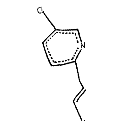 [CH2]C=Cc1ccc(Cl)cn1